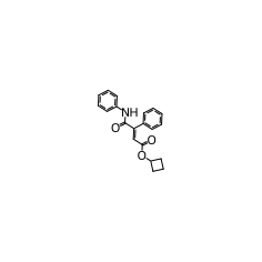 O=C(/C=C(/C(=O)Nc1ccccc1)c1ccccc1)OC1CCC1